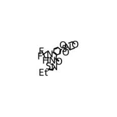 CCc1cnc(NC(=O)c2cc(S(=O)(=O)N3CCOCC3)ccc2N2CCC(F)(F)C2)s1